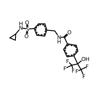 O=C(NCc1ccc(S(=O)(=O)NC2CC2)cc1)c1ccc(C(O)(C(F)(F)F)C(F)(F)F)cc1